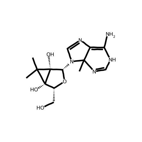 CC12N=CNC(N)=C1N=CN2[C@@H]1O[C@H](CO)[C@@]2(O)C(C)(C)[C@@]12O